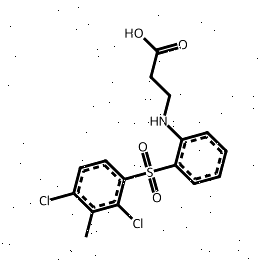 Cc1c(Cl)ccc(S(=O)(=O)c2ccccc2NCCC(=O)O)c1Cl